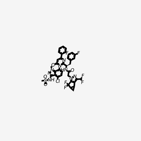 Cn1nc(NS(C)(=O)=O)c2c(Cl)ccc(-n3c([C@@H](Cc4cc(F)cc(F)c4)NC(=O)Cn4nc(C(F)F)c5c4C(F)(F)C4CC54)nc(-c4ccccc4)cc3=O)c21